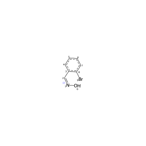 O/N=C\c1ccccc1Br